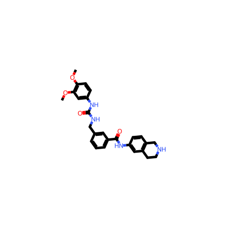 COc1ccc(NC(=O)NCc2cccc(C(=O)Nc3ccc4c(c3)CCNC4)c2)cc1OC